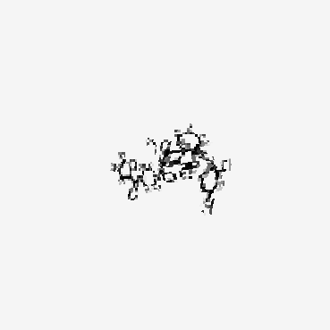 CCOC(=O)[C@@]12CCCCC=C1N(Cc1ccc(Cl)cc1Cl)C(=O)[C@H]2CC(=O)N1CCN(C(=O)c2ccco2)CC1